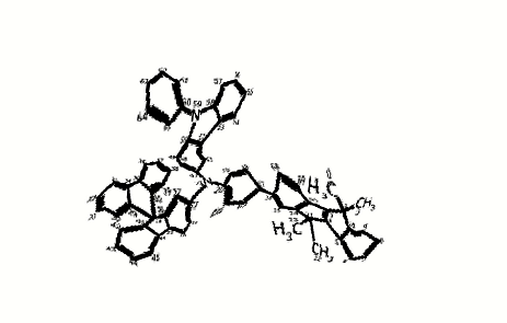 CC1(C)C2=C(c3ccccc31)C(C)(C)c1cc(-c3ccc(N(c4ccc5c(c4)C4(c6ccccc6-c6ccccc64)c4ccccc4-5)c4ccc5c(c4)c4ccccc4n5-c4ccccc4)cc3)ccc12